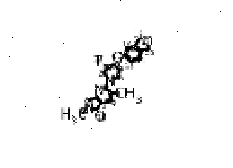 Cc1cc2c(nc1N1CC[C@@H](Oc3ccc4c(c3)COC4)[C@@H](F)C1)CN(C)C2=O